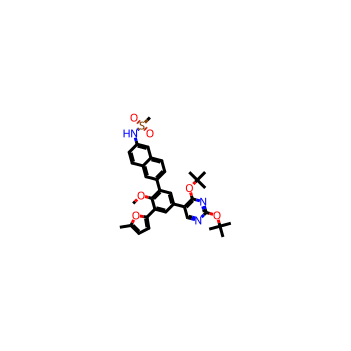 COc1c(-c2ccc3cc(NS(C)(=O)=O)ccc3c2)cc(-c2cnc(OC(C)(C)C)nc2OC(C)(C)C)cc1-c1ccc(C)o1